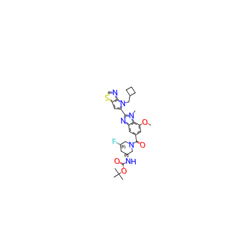 COc1cc(C(=O)N2C[C@H](F)C[C@@H](NC(=O)OC(C)(C)C)C2)cc2nc(-c3cc4scnc4n3CC3CCC3)n(C)c12